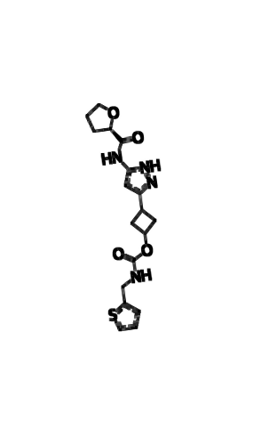 O=C(NCc1cccs1)OC1CC(c2cc(NC(=O)[C@H]3CCCO3)[nH]n2)C1